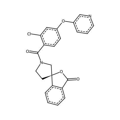 O=C1O[C@]2(CCN(C(=O)c3ccc(Oc4cccnc4)cc3Cl)C2)c2ccccc21